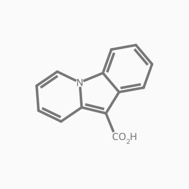 O=C(O)c1c2ccccc2n2ccccc12